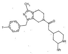 CCCC1CC(CC(=O)N2CCc3c(C)nn(Cc4ccc(F)cc4)c3C2)CCN1